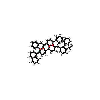 CC1(C)c2ccccc2-c2c(N(c3ccc(-c4ccc(-c5cccc6ccccc56)cc4)cc3)c3ccccc3-c3ccc(-c4ccc5ccccc5c4)cc3)cccc21